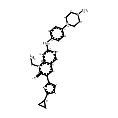 CCn1c(=O)c(-c2ccc(C3CC3)s2)cc2cnc(Nc3ccc(N4CCN(C)CC4)cc3)nc21